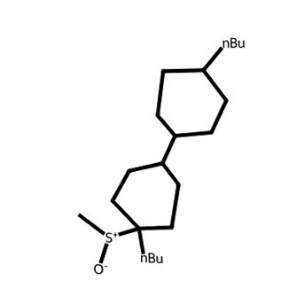 CCCCC1CCC(C2CCC(CCCC)([S+](C)[O-])CC2)CC1